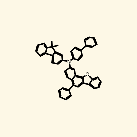 CC1(C)c2ccccc2-c2ccc(N(c3ccc(-c4ccccc4)cc3)c3ccc4c(-c5ccccc5)cc5c6ccccc6oc5c4c3)cc21